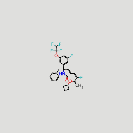 C=C(OC1CCC1)/C(F)=C\C=C\[C@@](Cc1ccccc1)(NC=O)c1cc(F)cc(OC(F)(F)C(F)F)c1